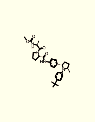 COC(=O)N[C@@H](C)C(=O)N1CCC[C@H]1C(=O)Nc1ccc([C@@H]2CC[C@@H](C)N2c2ccc(C(C)(C)C)cc2)cc1